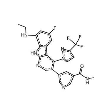 CCNc1cc(F)cc2c1[nH]c1ncc(-c3cncc(C(=O)NC)c3)c(-n3ccc(C(F)(F)F)n3)c12